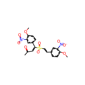 COc1ccc(C=CS(=O)(=O)C(=CC(C)=O)c2ccc(OC)c([N+](=O)[O-])c2)cc1[N+](=O)[O-]